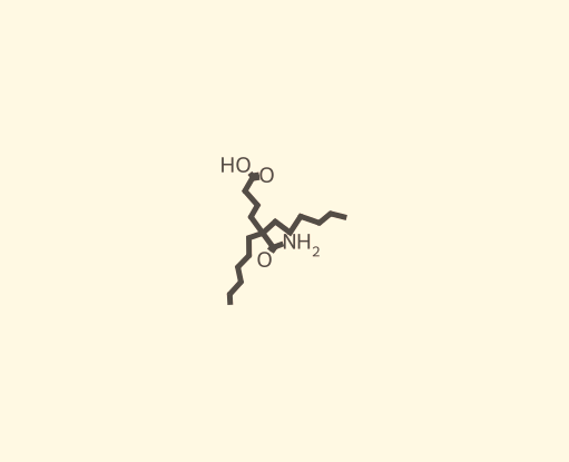 CCCCCCC(CCCCCC)(CCCC(=O)O)C(N)=O